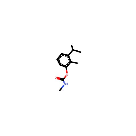 CNC(=O)Oc1cccc(C(C)C)c1C